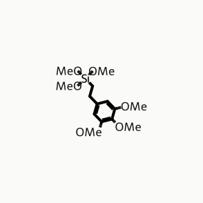 COc1cc(CC[Si](OC)(OC)OC)cc(OC)c1OC